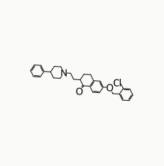 O=C1c2ccc(OCc3ccccc3Cl)cc2CCC1CCN1CCC(c2ccccc2)CC1